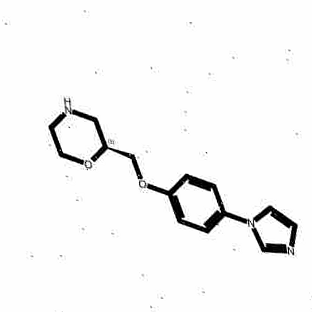 c1cn(-c2ccc(OC[C@@H]3CNCCO3)cc2)cn1